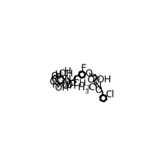 CC(=Cc1ccc(O[C@H]2C[C@H](O)[C@@H](C(C)=NOCc3ccccc3Cl)O2)c(F)c1)C(=O)N[C@@H]1[C@H](O)[C@@H](O)[C@H]2OCO[C@H]2[C@@H]1O